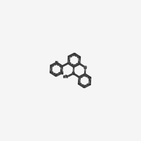 CCCN1c2ccccc2Oc2cccc(-c3ncccn3)c21